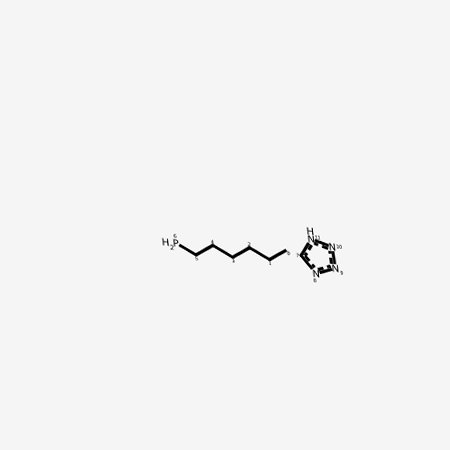 CCCCCCP.c1nnn[nH]1